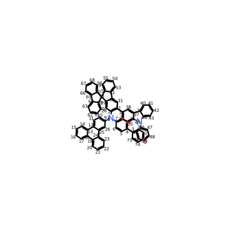 c1ccc(-c2ccc(N(c3ccc4c5ccccc5c5ccccc5c4c3)c3cc4c(cc3-c3ccc5c(c3)c3ccccc3n5-c3ccccc3)-c3ccccc3C43c4ccccc4-c4ccccc43)cc2)cc1